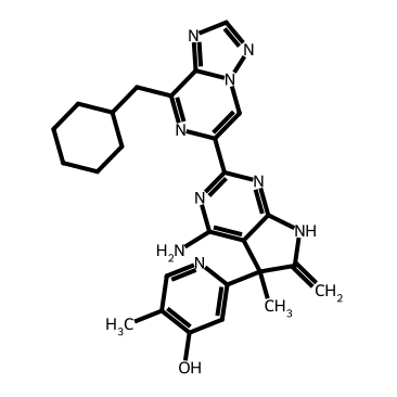 C=C1Nc2nc(-c3cn4ncnc4c(CC4CCCCC4)n3)nc(N)c2C1(C)c1cc(O)c(C)cn1